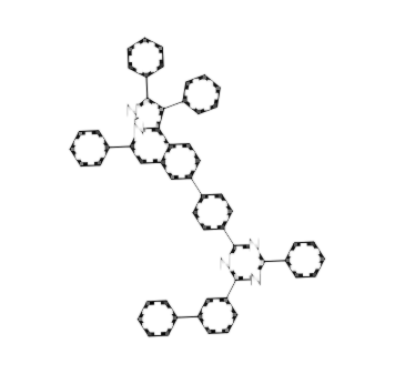 c1ccc(-c2cccc(-c3nc(-c4ccccc4)nc(-c4ccc(-c5ccc6c(c5)cc(-c5ccccc5)n5nc(-c7ccccc7)c(-c7ccccc7)c65)cc4)n3)c2)cc1